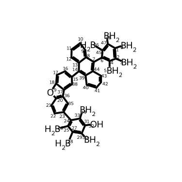 Bc1c(B)c(B)c(-c2c3ccccc3c(-c3ccc4oc5ccc(-c6c(B)c(B)c(B)c(O)c6B)cc5c4c3)c3ccccc23)c(B)c1B